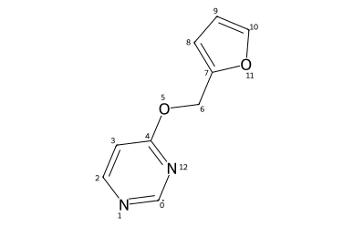 [c]1nccc(OCc2ccco2)n1